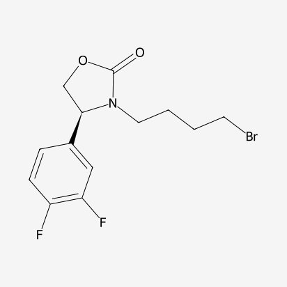 O=C1OC[C@H](c2ccc(F)c(F)c2)N1CCCCBr